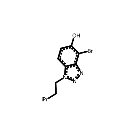 CC(C)CCn1nnc2c(Br)c(O)ccc21